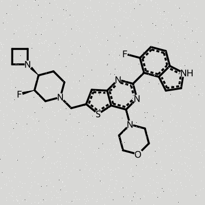 Fc1ccc2[nH]ccc2c1-c1nc(N2CCOCC2)c2sc(CN3CC[C@H](N4CCC4)[C@H](F)C3)cc2n1